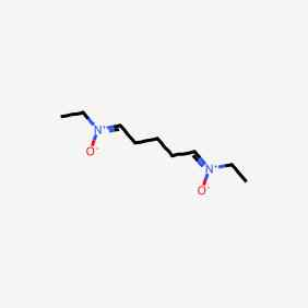 CC[N+]([O-])=CCCCC=[N+]([O-])CC